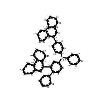 c1ccc(-c2ccc(N(c3ccccc3)c3ccc(-c4cc5ccccc5c5ccccc45)cc3)cc2-c2cc3ccccc3c3ccccc23)cc1